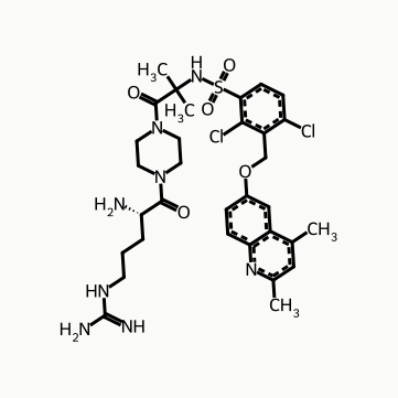 Cc1cc(C)c2cc(OCc3c(Cl)ccc(S(=O)(=O)NC(C)(C)C(=O)N4CCN(C(=O)[C@@H](N)CCCNC(=N)N)CC4)c3Cl)ccc2n1